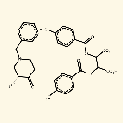 C[C@@H]1CN(Cc2ccccc2)CCC1=O.Cc1ccc(C(=O)OC(C(=O)O)C(OC(=O)c2ccc(C)cc2)C(=O)O)cc1